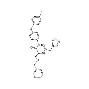 O=C(Cn1ccnc1)N[C@@H](COCc1ccccc1)C(=O)Nc1ccc(Oc2ccc(F)cc2)cc1